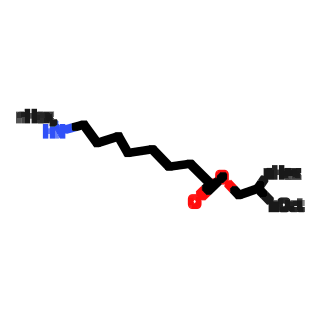 CCCCCCCCC(CCCCCC)COC(=O)CCCCCCCNCCCCCC